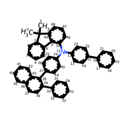 CC1(C)c2ccccc2-c2c(N(c3ccc(-c4ccccc4)cc3)c3ccc(-c4c(-c5ccccc5)ccc5ccccc45)cc3)cccc21